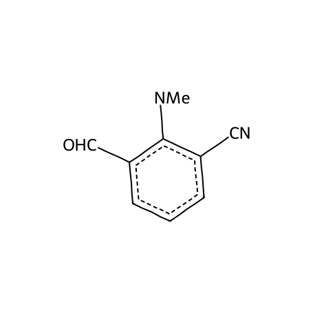 CNc1c(C#N)cccc1C=O